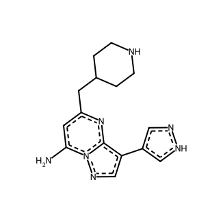 Nc1cc(CC2CCNCC2)nc2c(-c3cn[nH]c3)cnn12